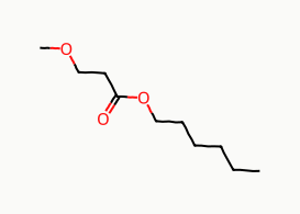 CCCCCCOC(=O)CCOC